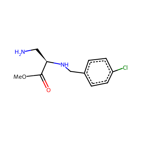 COC(=O)[C@@H](CN)NCc1ccc(Cl)cc1